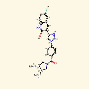 CO[C@@H]1CN(C(=O)c2ccc(-n3cc(-c4cc5cc(F)ccc5[nH]c4=O)nn3)cc2)C[C@H]1OC